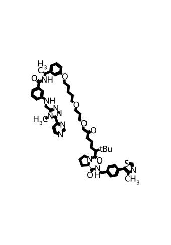 Cc1ncsc1-c1ccc(CNC(=O)[C@@H]2CCCN2C(=O)C(CCCC(=O)COCCCOCCCCCOc2cccc([C@H](C)NC(=O)c3cccc(NCc4nnc(-c5ccncn5)n4C)c3)c2)C(C)(C)C)cc1